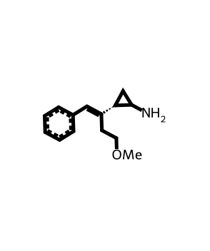 COCC/C(=C\c1ccccc1)[C@@H]1CC1N